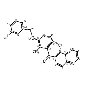 O=C(c1ccc2nccnc2c1)c1c(Cl)ccc(OCc2cccc(F)c2)c1Cl